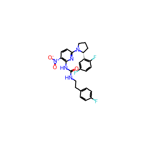 O=C(NCCc1ccc(F)cc1)Nc1nc(N2CCC[C@@H]2c2cc(F)ccc2F)ccc1[N+](=O)[O-]